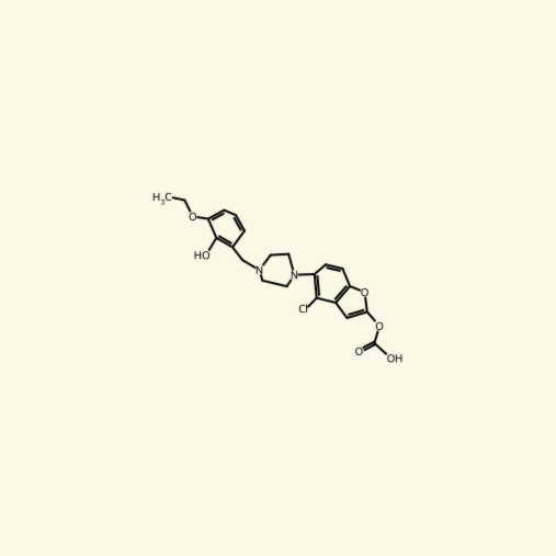 CCOc1cccc(CN2CCN(c3ccc4oc(OC(=O)O)cc4c3Cl)CC2)c1O